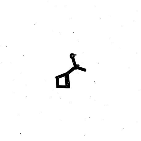 C[S+]([O-])C1=CC[CH]1